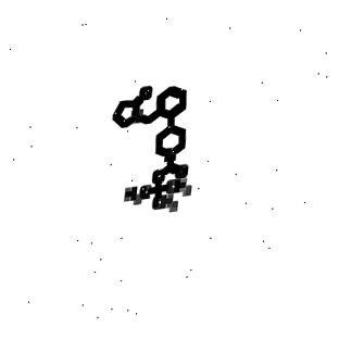 CC(C)(C)OC(=O)N1CCC(c2ccccc2CN2CCCC2=O)CC1